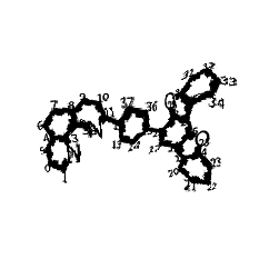 c1cnc2c(c1)ccc1ccc(-c3ccc(-c4cc5c6ccccc6oc5c5c4oc4ccccc45)cc3)nc12